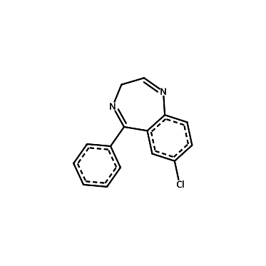 Clc1ccc2c(c1)C(c1ccccc1)=NCC=N2